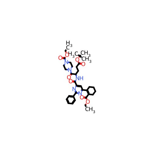 CCOC(=O)C1=C(c2cc(C(=O)NC(CCC(=O)OC(C)(C)C)C(=O)N3CCN(C(=O)OCC)CC3)nc(-c3ccccc3)n2)CCCC1